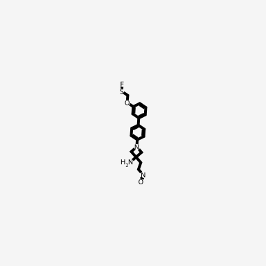 NC1(CCN=O)CN(c2ccc(-c3cccc(OCSF)c3)cc2)C1